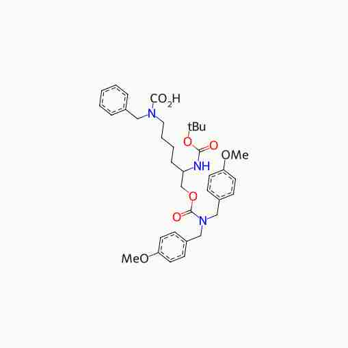 COc1ccc(CN(Cc2ccc(OC)cc2)C(=O)OCC(CCCCN(Cc2ccccc2)C(=O)O)NC(=O)OC(C)(C)C)cc1